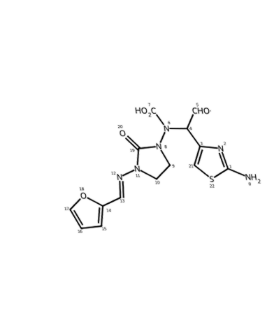 Nc1nc(C([C]=O)N(C(=O)O)N2CCN(/N=C/c3ccco3)C2=O)cs1